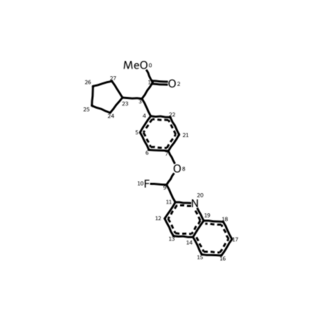 COC(=O)C(c1ccc(OC(F)c2ccc3ccccc3n2)cc1)C1CCCC1